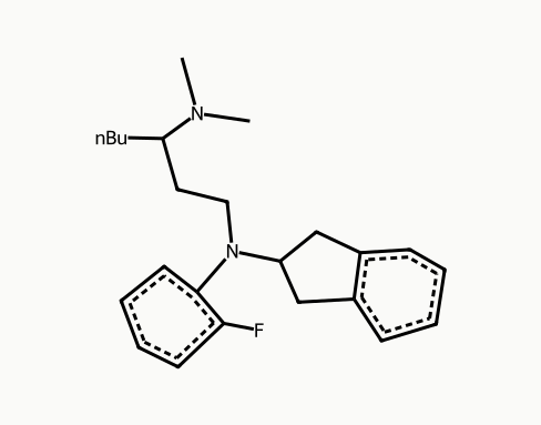 CCCCC(CCN(c1ccccc1F)C1Cc2ccccc2C1)N(C)C